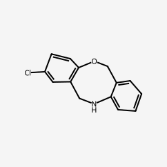 Clc1ccc2c(c1)CNc1ccccc1CO2